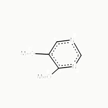 COc1[c]ncnc1OC